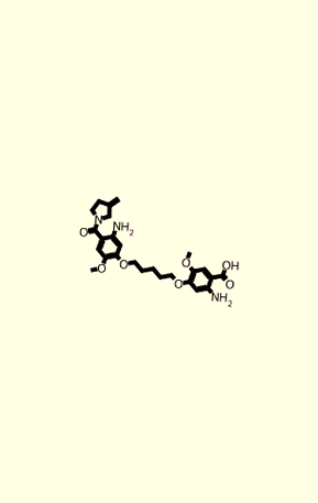 C=C1CCN(C(=O)c2cc(OC)c(OCCCCCOc3cc(N)c(C(=O)O)cc3OC)cc2N)C1